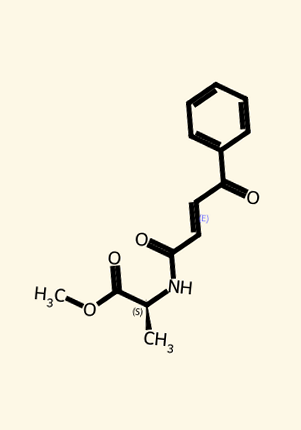 COC(=O)[C@H](C)NC(=O)/C=C/C(=O)c1ccccc1